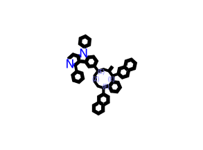 C=C1/C=C(c2ccc3c(c2)c2c(-c4ccccc4)nccc2n3-c2ccccc2)\C=C/C/C(c2ccc3ccccc3c2)=c2/cccc/c2=C/1c1ccc2ccccc2c1